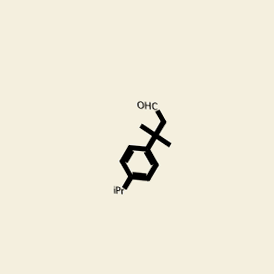 CC(C)c1ccc(C(C)(C)CC=O)cc1